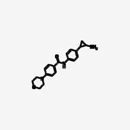 NC1CC1c1ccc(NC(=O)c2ccc(N3CCOCC3)cc2)cc1